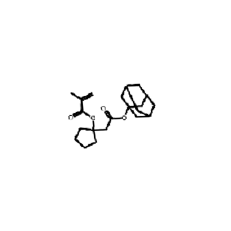 C=C(C)C(=O)OC1(CC(=O)OC23CC4CC(CC(C4)C2)C3)CCCC1